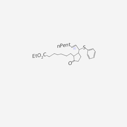 CCCCC/C=C/C(Sc1ccccc1)C1CCC(=O)C1CCCCCCC(=O)OCC